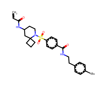 C=CC(=O)NC1CCN(S(=O)(=O)c2ccc(C(=O)NCCc3ccc(C(C)(C)C)cc3)cc2)C2(CCC2)C1